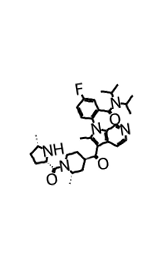 Cc1c(C(=O)[C@@H]2CCN(C(=O)[C@@H]3CC[C@H](C)N3)[C@@H](C)C2)c2ccncc2n1-c1ccc(F)cc1C(=O)N(C(C)C)C(C)C